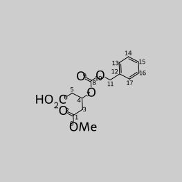 COC(=O)CC(CC(=O)O)OC(=O)OCc1ccccc1